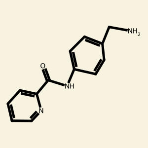 NCc1ccc(NC(=O)c2ccccn2)cc1